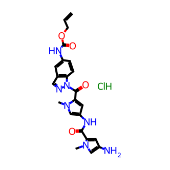 C=CCOC(=O)Nc1ccc2c(cnn2C(=O)c2cc(NC(=O)c3cc(N)cn3C)cn2C)c1.Cl